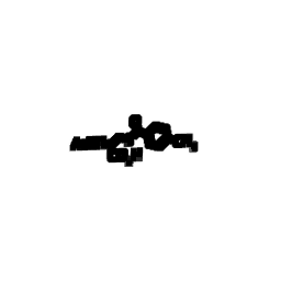 CC(=O)N[C@@H](CSC(=O)c1ccc(C)cc1)C(=O)O